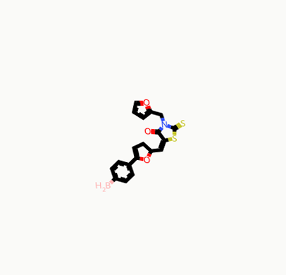 Bc1ccc(C2=CCC(/C=C3/SC(=S)N(Cc4ccco4)C3=O)O2)cc1